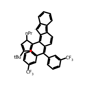 CCCC1C=C(C(C)(C)C)C=C1c1c2c(ccc1=C(c1cccc(C(F)(F)F)c1)c1cccc(C(F)(F)F)c1)=c1ccccc1=[C]2